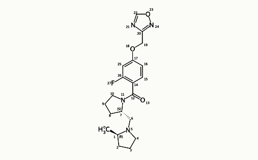 C[C@@H]1CCCN1C[C@@H]1CCCN1C(=O)c1ccc(OCc2ncon2)cc1F